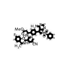 COC(=O)CC(Nc1ncc(C#N)cc1C(=O)NC(C)c1ccc(F)cc1)c1ccc(-c2cn(S(=O)(=O)c3ccccc3)c3ncnc(N)c23)cc1